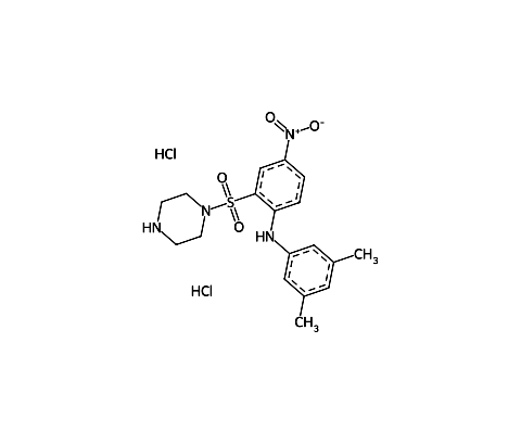 Cc1cc(C)cc(Nc2ccc([N+](=O)[O-])cc2S(=O)(=O)N2CCNCC2)c1.Cl.Cl